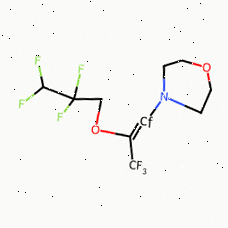 FC(F)C(F)(F)CO[C](=[Cf][N]1CCOCC1)C(F)(F)F